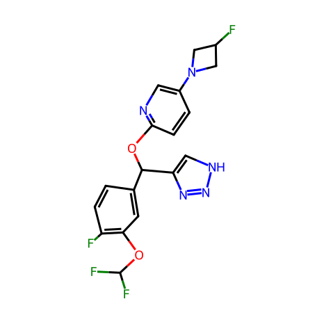 Fc1ccc(C(Oc2ccc(N3CC(F)C3)cn2)c2c[nH]nn2)cc1OC(F)F